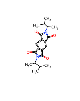 CC(C)C(C)n1c(=O)c2cc3c(=O)n(C(C)C(C)C)c(=O)c3cc2c1=O